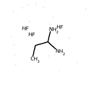 CCC(N)N.F.F.F